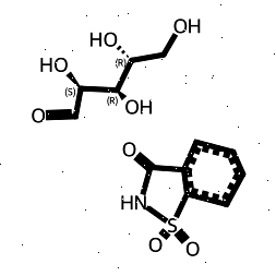 O=C1NS(=O)(=O)c2ccccc21.O=C[C@@H](O)[C@H](O)[C@H](O)CO